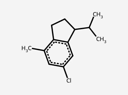 Cc1cc(Cl)cc2c1CCC2C(C)C